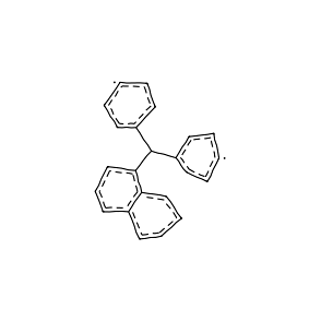 [c]1ccc(C(c2cc[c]cc2)c2cccc3ccccc23)cc1